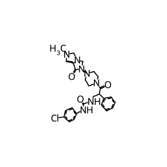 CN1C=C2C(=O)N(N3CCN(C(=O)C(CNC(=O)Nc4ccc(Cl)cc4)c4ccccc4)CC3)CN2C1